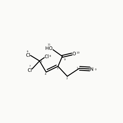 N#CCC(=CC(Cl)(Cl)Cl)C(=O)O